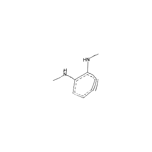 CNc1c#cccc1NC